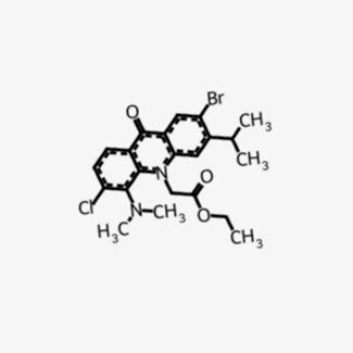 CCOC(=O)Cn1c2cc(C(C)C)c(Br)cc2c(=O)c2ccc(Cl)c(N(C)C)c21